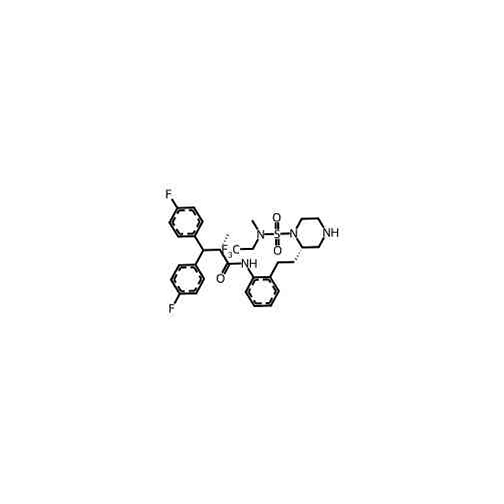 C[C@H](C(=O)Nc1ccccc1CC[C@H]1CNCCN1S(=O)(=O)N(C)CC(F)(F)F)C(c1ccc(F)cc1)c1ccc(F)cc1